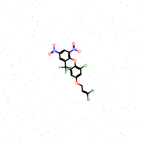 O=[N+]([O-])c1cc([N+](=O)[O-])c(Oc2c(Cl)cc(OCC=C(Br)Br)cc2Cl)c(C(F)(F)F)c1